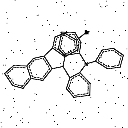 Brc1ccc2c(c1)C(c1ccccc1N(c1ccccc1)c1ccccc1)c1cc3ccccc3cc1-2